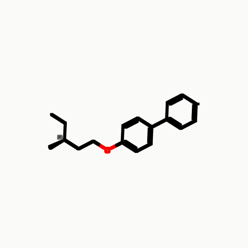 CC[C@H](C)CCOc1ccc(-c2cc[c]cc2)cc1